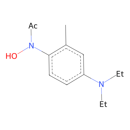 CCN(CC)c1ccc(N(O)C(C)=O)c(C)c1